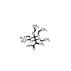 C=C(C(=O)O)C(OCC)(OCC)C(OCC)(OCC)OCC